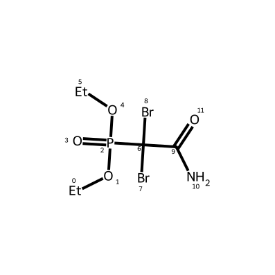 CCOP(=O)(OCC)C(Br)(Br)C(N)=O